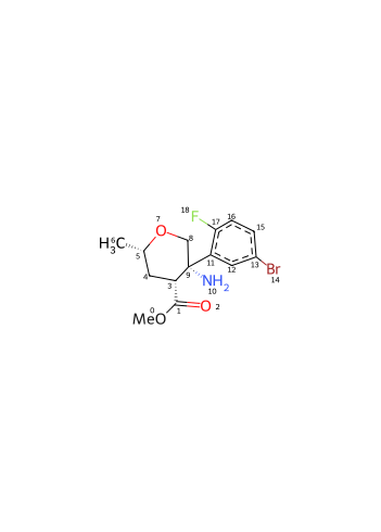 COC(=O)[C@@H]1C[C@H](C)OC[C@@]1(N)c1cc(Br)ccc1F